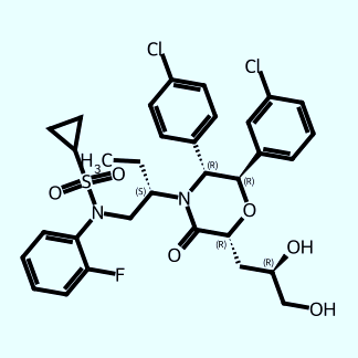 CC[C@@H](CN(c1ccccc1F)S(=O)(=O)C1CC1)N1C(=O)[C@@H](C[C@@H](O)CO)O[C@H](c2cccc(Cl)c2)[C@H]1c1ccc(Cl)cc1